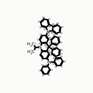 CC(C)N1c2ccc(N(c3ccccc3)c3ccccc3)cc2C(c2ccccc2)(c2ccccc2)c2cc(-n3c4ccccc4c4ccccc43)ccc21